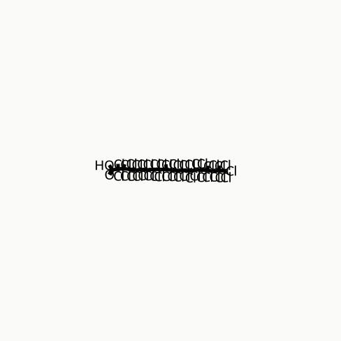 O=C(O)C(Cl)(Cl)C(Cl)(Cl)C(Cl)(Cl)C(Cl)(Cl)C(Cl)(Cl)C(Cl)(Cl)C(Cl)(Cl)C(Cl)(Cl)C(Cl)(Cl)C(Cl)(Cl)C(Cl)(Cl)C(Cl)(Cl)C(Cl)(Cl)C(Cl)(Cl)C(Cl)(Cl)C(Cl)(Cl)C(Cl)(Cl)C(Cl)(Cl)C(Cl)(Cl)Cl